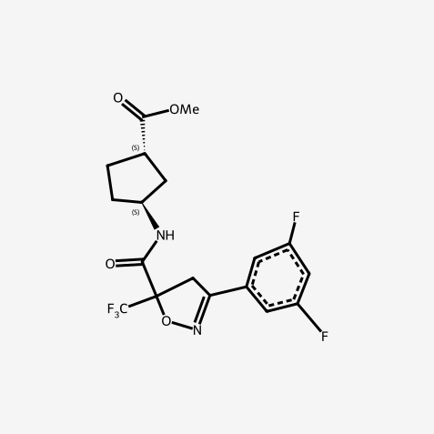 COC(=O)[C@H]1CC[C@H](NC(=O)C2(C(F)(F)F)CC(c3cc(F)cc(F)c3)=NO2)C1